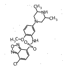 COc1ccc(N2CC(C)NC(C)C2)cc1NS(=O)(=O)c1ccc(Cl)c2nonc12